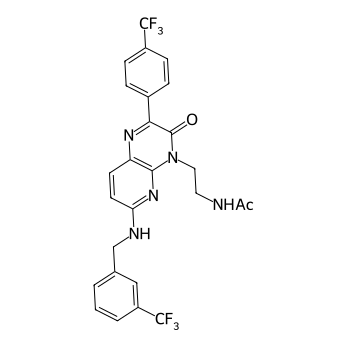 CC(=O)NCCn1c(=O)c(-c2ccc(C(F)(F)F)cc2)nc2ccc(NCc3cccc(C(F)(F)F)c3)nc21